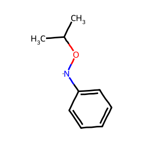 CC(C)O[N]c1ccccc1